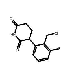 O=C1CCC(c2nccc(F)c2CCl)C(=O)N1